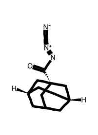 [N-]=[N+]=NC(=O)[C@]12CC3C[C@H](C[C@H](C3)C1)C2